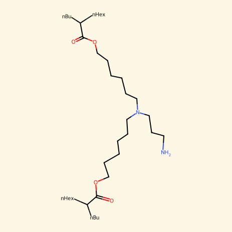 CCCCCCC(CCCC)C(=O)OCCCCCCN(CCCN)CCCCCCOC(=O)C(CCCC)CCCCCC